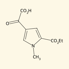 CCOC(=O)c1cc(C(=O)C(=O)O)cn1C